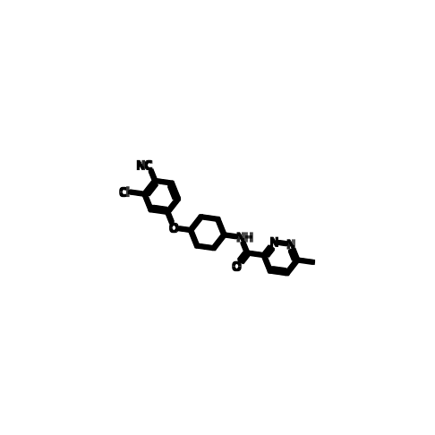 Cc1ccc(C(=O)NC2CCC(Oc3ccc(C#N)c(Cl)c3)CC2)nn1